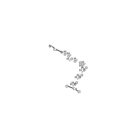 O.O.O.O.O.O.O.O.O.O.O.O.[Br][Ca][Br].[Cl][Ca][Cl]